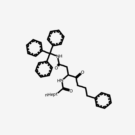 CCCCCCCC(=O)NC(CC(=O)NC(c1ccccc1)(c1ccccc1)c1ccccc1)C(=O)CCCc1ccccc1